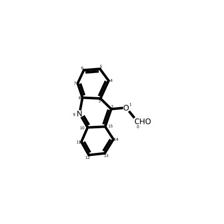 O=COc1c2ccccc2nc2ccccc12